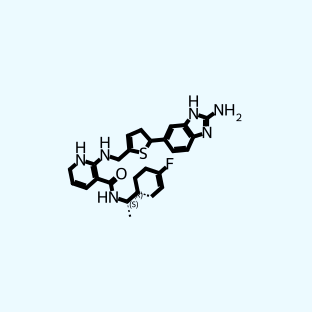 C[C@H](NC(=O)C1=C(NCC2=CCC(c3ccc4nc(N)[nH]c4c3)S2)NCC=C1)[C@H]1CC=C(F)CC1